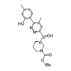 Cc1ccc(-c2nnc([C@@H](O)[C@@H]3CCCN(C(=O)OC(C)(C)C)C3)cc2C)c(O)c1